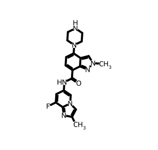 Cc1cn2cc(NC(=O)c3ccc(N4CCNCC4)c4cn(C)nc34)cc(F)c2n1